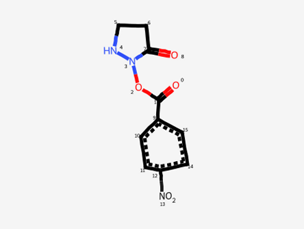 O=C(ON1NCCC1=O)c1ccc([N+](=O)[O-])cc1